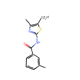 Cc1cccc(C(=O)Nc2nc(C)c(C(=O)O)s2)c1